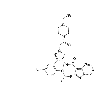 CC(C)CN1CCN(C(=O)Cn2cc(NC(=O)c3cnn4cccnc34)c(-c3cc(Cl)ccc3OC(F)F)n2)CC1